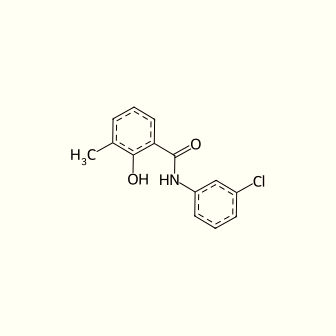 Cc1cccc(C(=O)Nc2cccc(Cl)c2)c1O